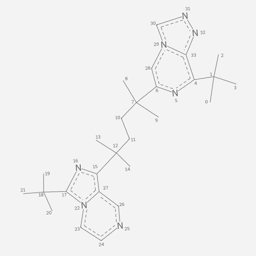 CC(C)(C)c1nc(C(C)(C)CCC(C)(C)c2nc(C(C)(C)C)n3ccncc23)cn2cnnc12